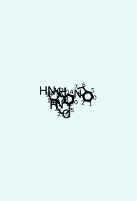 c1ccc2c(c1)CCN2c1cc2c3c(c1)[C@@H]1CNCC[C@@H]1N3CCOC2